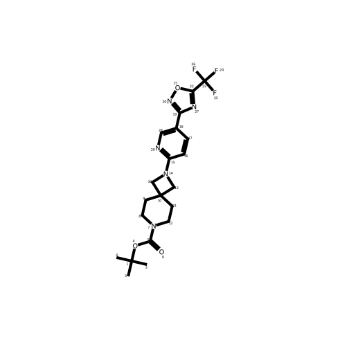 CC(C)(C)OC(=O)N1CCC2(CC1)CN(c1ccc(-c3noc(C(F)(F)F)n3)cn1)C2